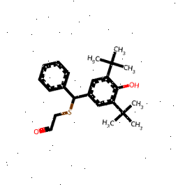 CC(C)(C)c1cc(C(SCC=O)c2ccccc2)cc(C(C)(C)C)c1O